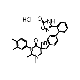 CCCCC1(Cc2ccc(-c3ccccc3-c3noc(=O)[nH]3)cc2)CNC(C)N(c2ccc(C)c(C)c2)C1=O.Cl